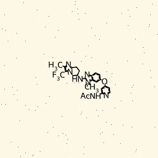 CC(=O)Nc1cc(Oc2ccc3nc(NC4CCc5nc(C)c(C(F)(F)F)n5C4)n(C)c3c2)ccn1